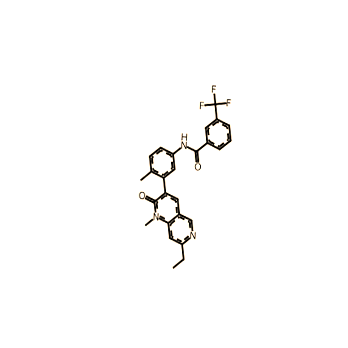 CCc1cc2c(cn1)cc(-c1cc(NC(=O)c3cccc(C(F)(F)F)c3)ccc1C)c(=O)n2C